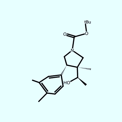 Cc1ccc([C@@H]2CN(C(=O)OC(C)(C)C)C[C@@]2(C)[C@@H](C)O)cc1C